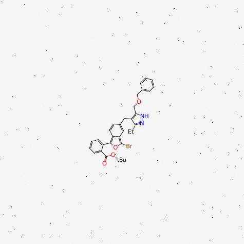 CCc1n[nH]c(COCc2ccccc2)c1Cc1ccc2c(-c3ccccc3C(=O)OC(C)(C)C)oc(Br)c2c1